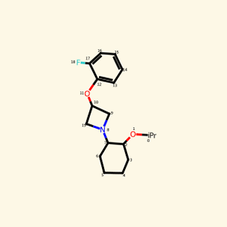 CC(C)OC1CCCCC1N1CC(Oc2ccccc2F)C1